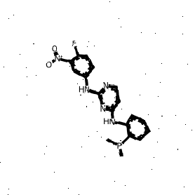 CP(C)c1ccccc1Nc1ccnc(Nc2ccc(F)c([N+](=O)[O-])c2)n1